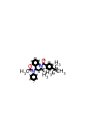 CC(=O)N(c1ccccc1)[C@@H]1C[C@H](C)N(C(=O)c2ccc(C(C)(C)C)cc2)c2ccccc21